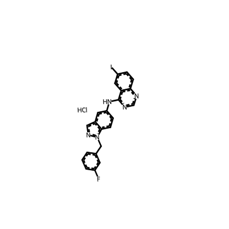 Cl.Fc1cccc(Cn2ncc3cc(Nc4ncnc5ccc(I)cc45)ccc32)c1